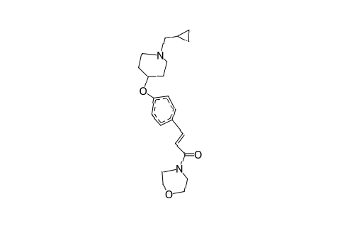 O=C(/C=C/c1ccc(OC2CCN(CC3CC3)CC2)cc1)N1CCOCC1